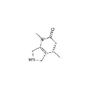 Cc1cc(=O)n(C)c2c1CNC2